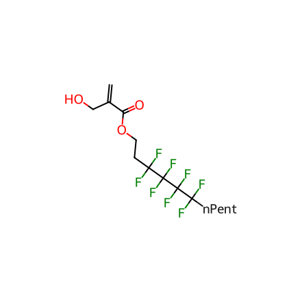 C=C(CO)C(=O)OCCC(F)(F)C(F)(F)C(F)(F)C(F)(F)CCCCC